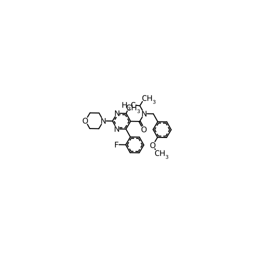 COc1cccc(CN(C(=O)c2c(C)nc(N3CCOCC3)nc2-c2ccccc2F)C(C)C)c1